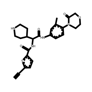 C#Cc1ccc(C(=O)NC(C(=O)Nc2ccc(N3CCOCC3=O)c(C)c2)C2CCNCC2)s1